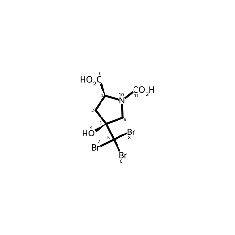 O=C(O)[C@@H]1C[C@@](O)(C(Br)(Br)Br)CN1C(=O)O